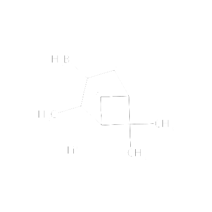 [BH3-]C1CC2CC(C1C)C2(C)C.[Li+]